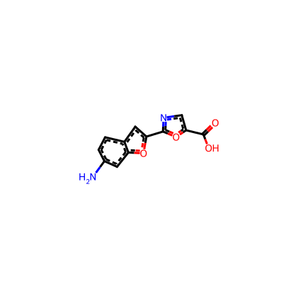 Nc1ccc2cc(-c3ncc(C(=O)O)o3)oc2c1